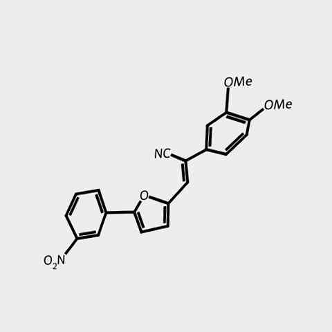 COc1ccc(C(C#N)=Cc2ccc(-c3cccc([N+](=O)[O-])c3)o2)cc1OC